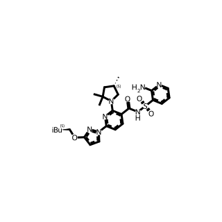 CC[C@H](C)COc1ccn(-c2ccc(C(=O)NS(=O)(=O)c3cccnc3N)c(N3C[C@@H](C)CC3(C)C)n2)n1